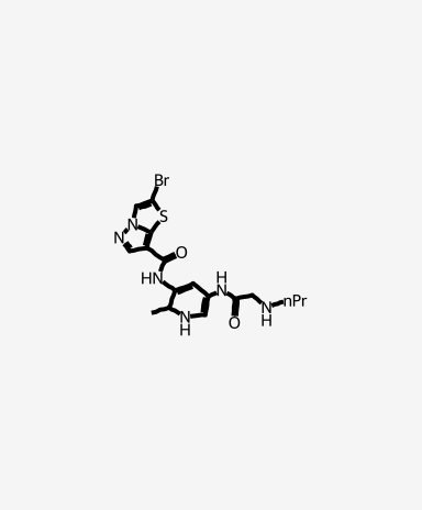 CCCNCC(=O)NC1=CNC(C)C(NC(=O)c2cnn3cc(Br)sc23)=C1